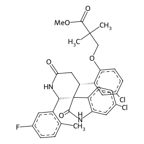 COC(=O)C(C)(C)COc1ccc(Cl)cc1[C@H]1CC(=O)NC(c2cc(F)ccc2C)[C@]12C(=O)Nc1cc(Cl)ccc12